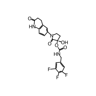 O=C1CCc2cc(N3CC[C@](O)(OC(=O)NCc4cc(F)c(F)c(F)c4)C3=O)ccc2N1